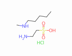 CCCCCNC.Cl.NCCS(=O)(=O)O